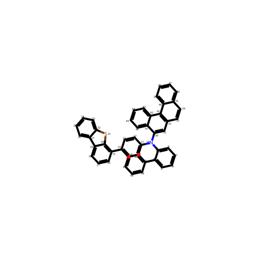 c1ccc(-c2ccccc2N(c2ccc(-c3cccc4c3sc3ccccc34)cc2)c2cc3ccc4ccccc4c3c3ccccc23)cc1